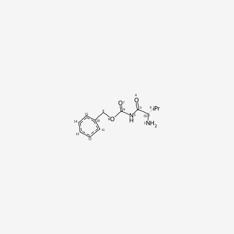 CC(C)[C@H](N)C(=O)NC(=O)OCc1ccccc1